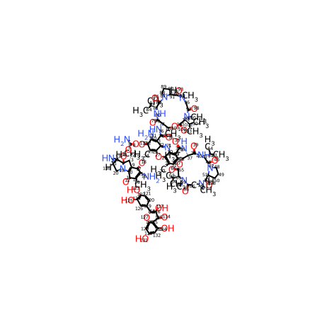 CO[C@@]12[C@H](COC(N)=O)C3=C(C(=O)C(C)=C(N)C3=O)N1C[C@@H]1N[C@@H]12.Cc1c2oc3c(C)ccc(C(=O)N[C@@H]4C(=O)N[C@H](C(C)C)C(=O)N5CCC[C@H]5C(=O)N(C)CC(=O)N(C)[C@@H](C(C)C)C(=O)O[C@@H]4C)c3nc-2c(C(=O)N[C@@H]2C(=O)N[C@H](C(C)C)C(=O)N3CCC[C@H]3C(=O)N(C)CC(=O)N(C)[C@@H](C(C)C)C(=O)O[C@@H]2C)c(N)c1=O.O=c1c(O)c(-c2ccc(O)c(O)c2)oc2cc(O)cc(O)c12